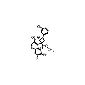 COC(=O)C1(c2c([N+](=O)[O-])cnc3cc(F)c(Br)cc23)CC(c2cccc(Cl)c2)C1